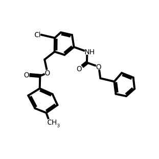 Cc1ccc(C(=O)OCc2cc(NC(=O)OCc3ccccc3)ccc2Cl)cc1